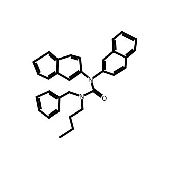 CCCCN(Cc1ccccc1)C(=O)N(c1ccc2ccccc2c1)c1ccc2ccccc2c1